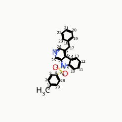 Cc1ccc(S(=O)(=O)n2c3ccccc3c3c(Cc4ccccc4)cncc32)cc1